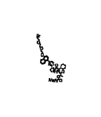 CNC(=O)OC(C)C(=O)NC(C(=O)N1CCC[C@H]1c1nc(-c2ccc(OCCOCCOCCBr)c3ccccc23)cs1)C1CCCCC1